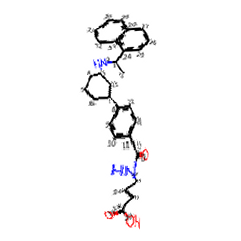 C[C@@H](N[C@H]1CCC[C@H](c2ccc(C(=O)NCCCC(=O)O)cc2)C1)c1cccc2ccccc12